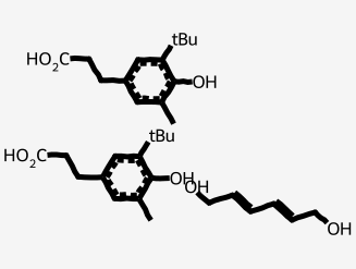 Cc1cc(CCC(=O)O)cc(C(C)(C)C)c1O.Cc1cc(CCC(=O)O)cc(C(C)(C)C)c1O.OCC=CC=CCO